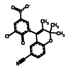 CC1=C(n2cc([N+](=O)[O-])cc(Cl)c2=O)c2cc(C#N)ccc2OC1(C)C